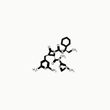 CC[C@@H](NC(=O)N1C(=O)[C@H](Cc2cc(C)nc(N)c2)[C@H]1C(=O)N(C)c1cn(C)cn1)C1CCCCC1